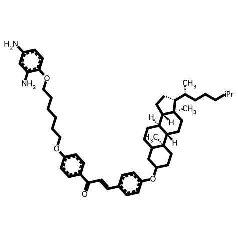 CC(C)CCC[C@@H](C)[C@H]1CC[C@H]2[C@@H]3CCC4CC(Oc5ccc(C=CC(=O)c6ccc(OCCCCCCOc7ccc(N)cc7N)cc6)cc5)CC[C@]4(C)[C@H]3CC[C@]12C